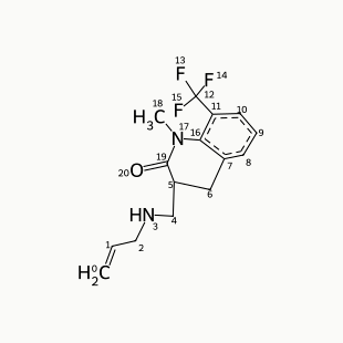 C=CCNCC1Cc2cccc(C(F)(F)F)c2N(C)C1=O